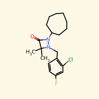 CC1(C)C(=O)N(C2CCCCCCC2)N1Cc1ccc(F)cc1Cl